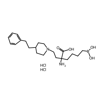 Cl.Cl.NC(CCCCB(O)O)(CCN1CCC(CCc2ccccc2)CC1)C(=O)O